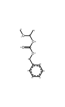 COC(C)OC(=O)OCc1ccccc1